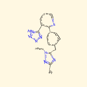 CCCCCn1nc(C(C)C)nc1Cc1ccc(-c2ncccc2-c2nnn[nH]2)cc1